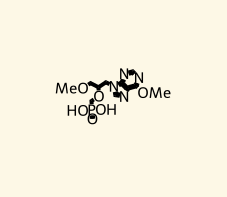 COCC(Cn1cnc2c(OC)ncnc21)OCP(=O)(O)O